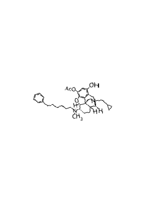 CC(=O)Oc1cc(O)c2c3c1O[C@H]1[C@H](N(C)CCCCCCc4ccccc4)CC[C@H]4[C@@H](C2)N(CC2CC2)CC[C@@]341